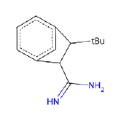 CC(C)(C)C1c2cccc(c2)C1C(=N)N